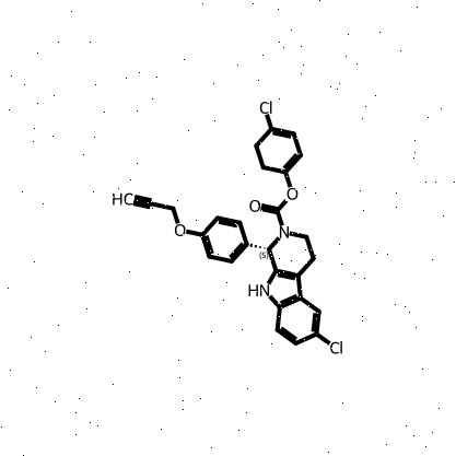 C#CCOc1ccc([C@H]2c3[nH]c4ccc(Cl)cc4c3CCN2C(=O)OC2=CC=C(Cl)CC2)cc1